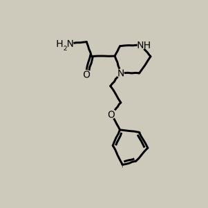 NCC(=O)C1CNCCN1CCOc1c[c]ccc1